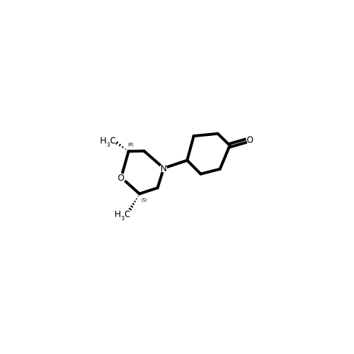 C[C@@H]1CN(C2CCC(=O)CC2)C[C@H](C)O1